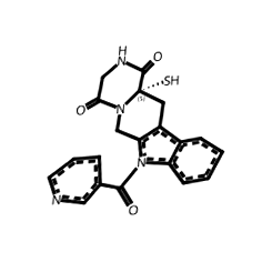 O=C1CNC(=O)[C@@]2(S)Cc3c(n(C(=O)c4cccnc4)c4ccccc34)CN12